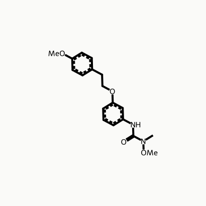 COc1ccc(CCOc2cccc(NC(=O)N(C)OC)c2)cc1